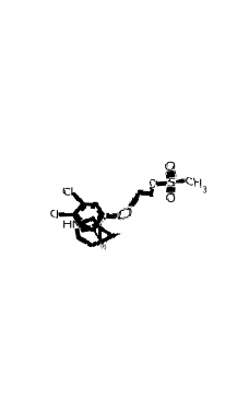 CS(=O)(=O)OCCOC[C@@]12CNCC[C@@]1(c1ccc(Cl)c(Cl)c1)C2